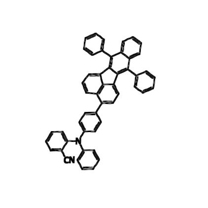 N#Cc1ccccc1N(c1ccccc1)c1ccc(-c2ccc3c4c(cccc24)-c2c-3c(-c3ccccc3)c3ccccc3c2-c2ccccc2)cc1